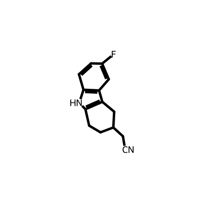 N#CCC1CCc2[nH]c3ccc(F)cc3c2C1